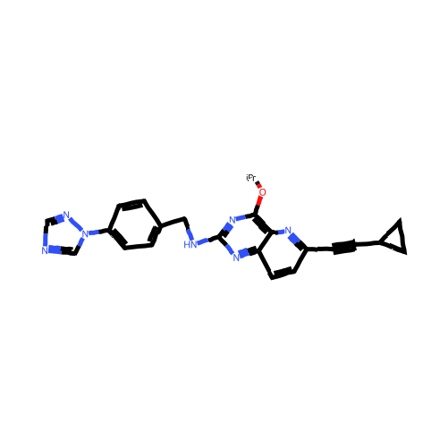 CC(C)Oc1nc(NCc2ccc(-n3cncn3)cc2)nc2ccc(C#CC3CC3)nc12